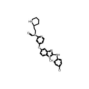 Cn1c(Nc2ccc(Cl)cc2)nc2cc(Oc3ccnc(N(C=O)CCC4CCCCN4)c3)ccc21